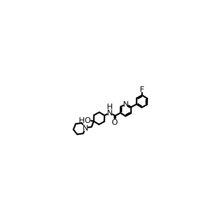 O=C(NC1CCC(O)(CN2CCCCC2)CC1)c1ccc(-c2cccc(F)c2)nc1